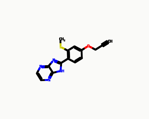 C#CCOc1ccc(-c2nc3nccnc3[nH]2)c(SC)c1